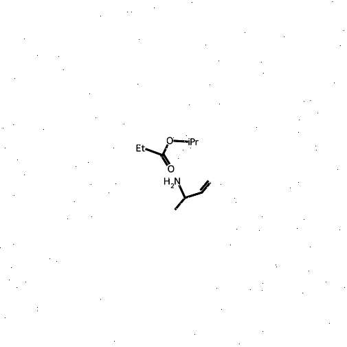 C=CC(C)N.CCC(=O)OC(C)C